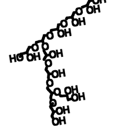 OCC(O)COCC(O)COCC(O)COCC(COCC(O)CO)OCC(O)COCC(O)COCC(COCC(O)CO)OCC(O)CO